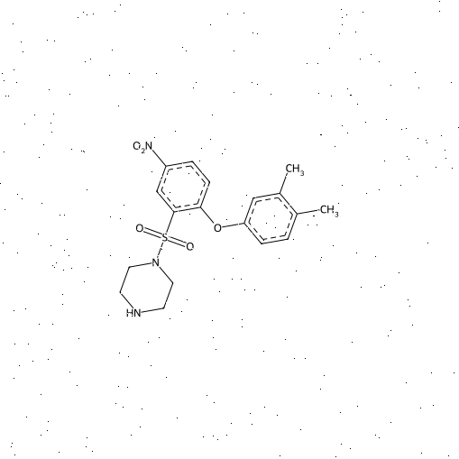 Cc1ccc(Oc2ccc([N+](=O)[O-])cc2S(=O)(=O)N2CCNCC2)cc1C